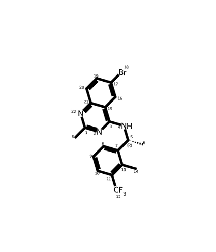 Cc1nc(N[C@H](C)c2cccc(C(F)(F)F)c2C)c2cc(Br)ccc2n1